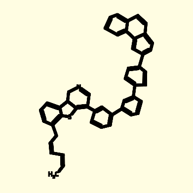 C/C=C\C=C/Cc1cccc2c1SC1=C(c3cccc(-c4cccc(-c5ccc(-c6ccc7ccc8ccccc8c7c6)cc5)c4)c3)C=NCC12